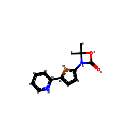 CC1(C)OC(=O)N1c1ccc(-c2ccccn2)s1